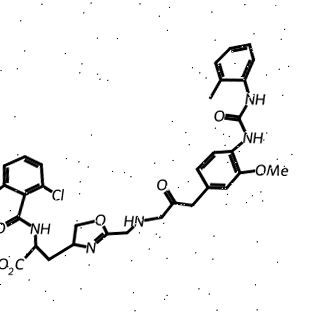 COc1cc(CC(=O)CNCC2=NC(CC(NC(=O)c3c(Cl)cccc3Cl)C(=O)O)CO2)ccc1NC(=O)Nc1ccccc1C